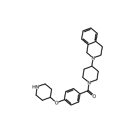 O=C(c1ccc(OC2CCNCC2)cc1)N1CCC(N2CCc3ccccc3C2)CC1